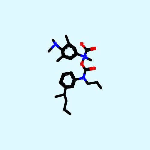 CCCC(C)c1cccc(N(CCC)C(=O)O[N+](C)(C(=O)[O-])c2cc(C)c(N(C)C)c(C)c2)c1